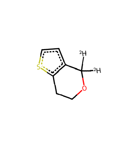 [2H]C1([2H])OCCc2sccc21